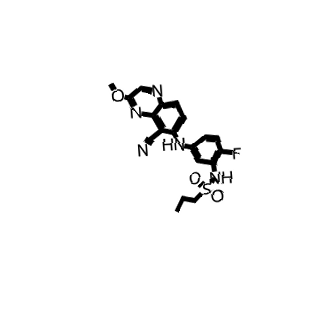 CCCS(=O)(=O)Nc1cc(Nc2ccc3ncc(OC)nc3c2C#N)ccc1F